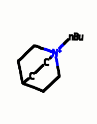 CCCC[N+]12CCC(CC1)CC2